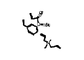 C=CC(=O)OCCCC.C=CC[N+](C)(C)CC=C.C=Cc1ccccc1.[Cl-]